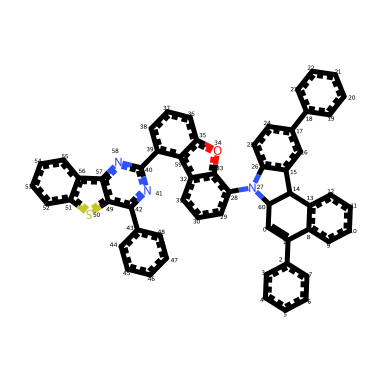 C1=C(c2ccccc2)c2ccccc2C2c3cc(-c4ccccc4)ccc3N(c3cccc4c3oc3cccc(-c5nc(-c6ccccc6)c6sc7ccccc7c6n5)c34)C12